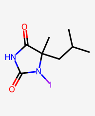 CC(C)CC1(C)C(=O)NC(=O)N1I